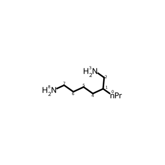 CCCC(CN)CCCCN